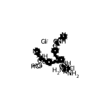 Cl.Cl.Nc1nc(N)c(C(=O)N[C@H]2CCC[N+](CCCc3ccc(OCC(=O)NCc4cccnc4)cc3)(CCCc3ccc(OCC(=O)NCc4cccnc4)cc3)C2)nc1Cl.[Cl-]